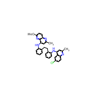 COc1ccc2nc(C)cc(Nc3ccccc3CCc3ccccc3Nc3cc(C)nc4ccc(Cl)cc34)c2n1